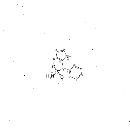 NS(=O)(=O)C(c1ccccc1)c1ccc[nH]1